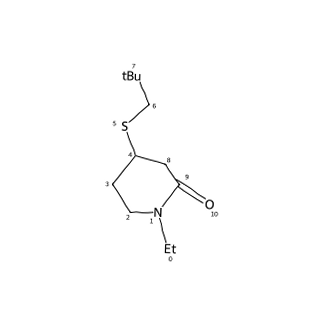 CCN1CCC(SCC(C)(C)C)CC1=O